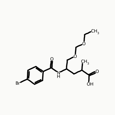 CCOCOCC(CC(C)C(=O)O)NC(=O)c1ccc(Br)cc1